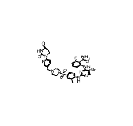 Cc1cc(S(=O)(=O)N2CCN(Cc3ccc(N4CCC(=O)NC4=O)nc3)CC2)ccc1Nc1ncc(Br)c(Nc2cccc(F)c2C(N)=O)n1